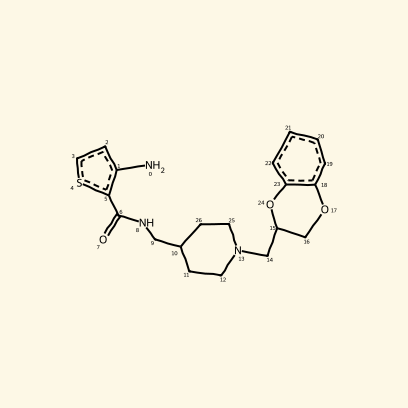 Nc1ccsc1C(=O)NCC1CCN(CC2COc3ccccc3O2)CC1